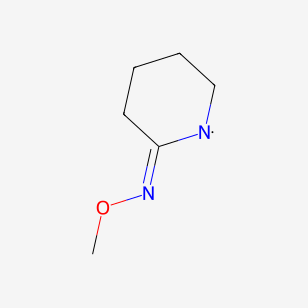 CON=C1CCCC[N]1